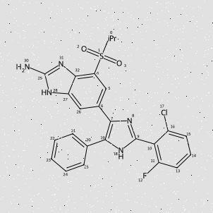 CC(C)S(=O)(=O)c1cc(-c2nc(-c3c(F)cccc3Cl)[nH]c2-c2ccccc2)cc2[nH]c(N)nc12